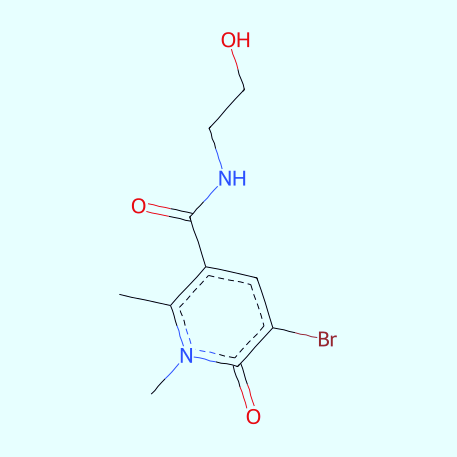 Cc1c(C(=O)NCCO)cc(Br)c(=O)n1C